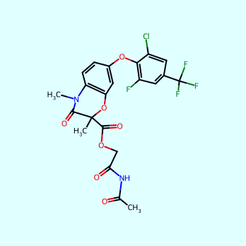 CC(=O)NC(=O)COC(=O)C1(C)Oc2cc(Oc3c(F)cc(C(F)(F)F)cc3Cl)ccc2N(C)C1=O